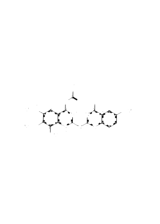 COc1ccc2nc(Nc3nc(OC(=O)C(F)(F)F)c4cc(OC)c(OC)c(OC)c4n3)nc(C)c2c1